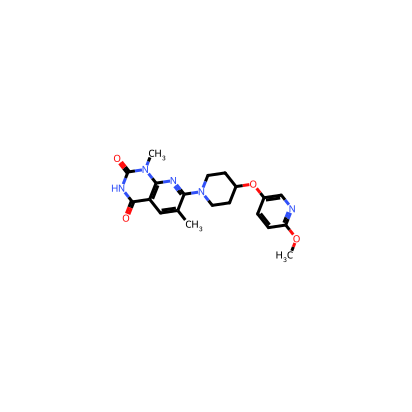 COc1ccc(OC2CCN(c3nc4c(cc3C)c(=O)[nH]c(=O)n4C)CC2)cn1